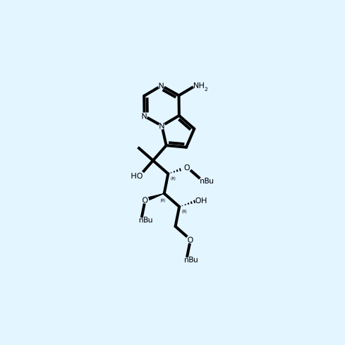 CCCCOC[C@@H](O)[C@@H](OCCCC)[C@@H](OCCCC)C(C)(O)c1ccc2c(N)ncnn12